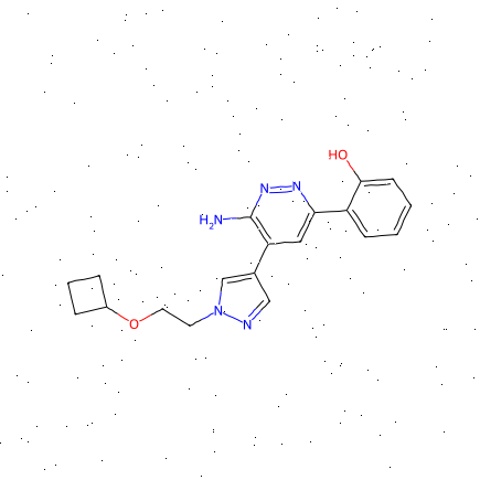 Nc1nnc(-c2ccccc2O)cc1-c1cnn(CCOC2CCC2)c1